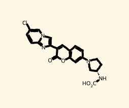 O=C(O)N[C@H]1CCN(c2ccc3cc(-c4cn5cc(Cl)ccc5n4)c(=O)oc3c2)C1